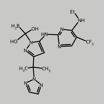 BC(O)(O)n1nc(C(C)(C)n2nccn2)cc1Nc1ncc(C(F)(F)F)c(NCC)n1